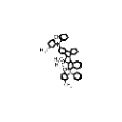 Cc1ccc(C)c(N(c2ccccc2)c2ccc3c4c(c5ccccc5c3c2)-c2c(cc(N(c3ccccc3)c3cc(C)ccc3C)c3ccccc23)C4(C)C)c1